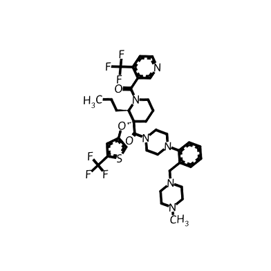 CCC[C@H]1N(C(=O)c2cnccc2C(F)(F)F)CCC[C@@]1(Oc1csc(C(F)(F)F)c1)C(=O)N1CCN(c2ccccc2CN2CCN(C)CC2)CC1